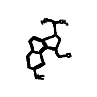 [C-]#[N+]c1ccc2ccc3c(c2c1)C(CCl)CN3B(C)O